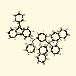 c1ccc(N(c2ccc3c(c2)C(c2ccccc2)(c2ccc4ccccc4c2)c2cc4ccccc4cc2-3)c2ccc3c(c2)c2ccccc2n3-c2ccccc2)cc1